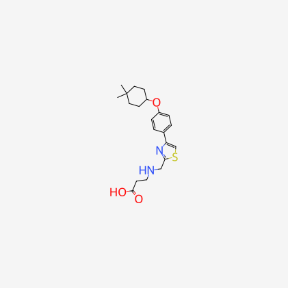 CC1(C)CCC(Oc2ccc(-c3csc(CNCCC(=O)O)n3)cc2)CC1